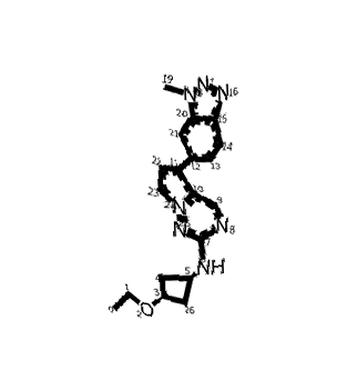 CCO[C@H]1C[C@@H](Nc2ncc3c(-c4ccc5nnn(C)c5c4)ccn3n2)C1